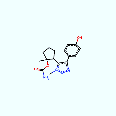 Cn1nnc(-c2ccc(O)cc2)c1C1CCCC1(C)OC(N)=O